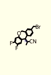 C/C(C#N)=C1/c2ccc(CBr)cc2COc2cc(F)c(F)cc21